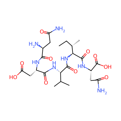 CC[C@H](C)[C@H](NC(=O)[C@@H](NC(=O)[C@H](CC(=O)O)NC(=O)[C@@H](N)CC(N)=O)C(C)C)C(=O)N[C@@H](CC(N)=O)C(=O)O